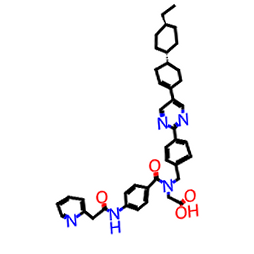 CC[C@H]1CC[C@H](C2CC=C(c3cnc(-c4ccc(CN(CC(=O)O)C(=O)c5ccc(NC(=O)Cc6ccccn6)cc5)cc4)nc3)CC2)CC1